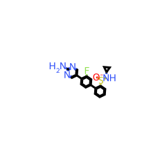 Nc1ncc(-c2ccc(-c3ccccc3[S+]([O-])NC3CC3)cc2F)cn1